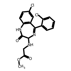 COC(=O)CNC1N=C(c2ccccc2Cl)c2cc(Cl)ccc2NC1=O